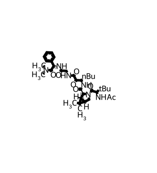 CCCCC(NC(=O)[C@@H]1[C@@H]2[C@H](CN1C(=O)C(NC(C)=O)C(C)(C)C)C2(C)C)C(=O)C(=O)NCC(=O)N[C@H](C(=O)N(C)C)c1ccccc1